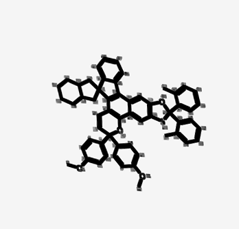 COc1ccc(C2(c3ccc(OC)cc3)C=Cc3c4c(c5cc6c(cc5c3O2)SC(c2ccccc2C)(c2ccccc2C)O6)-c2ccccc2C42CC3CCCCC3C2)cc1